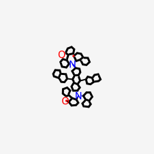 c1ccc2cc(-c3c4ccc(N(c5cccc6ccccc56)c5cccc6oc7ccccc7c56)cc4c(-c4ccc5ccccc5c4)c4ccc(N(c5cccc6ccccc56)c5cccc6oc7ccccc7c56)cc34)ccc2c1